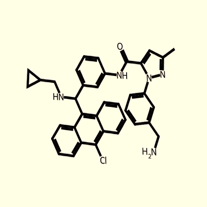 Cc1cc(C(=O)Nc2cccc(C(NCC3CC3)c3c4ccccc4c(Cl)c4ccccc34)c2)n(-c2cccc(CN)c2)n1